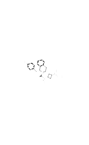 CN[C@H]1C[C@H](N(C)C(=O)N2CCc3ccccc3[C@@H]2Cc2ccc(F)cc2)C1